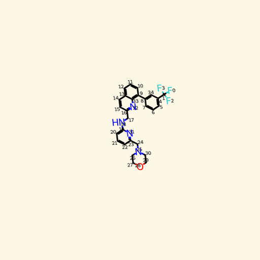 FC(F)(F)c1cccc(-c2cccc3ccc(CNc4cccc(CN5CCOCC5)n4)nc23)c1